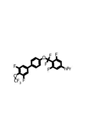 CCCc1cc(F)c(C(F)(F)Oc2ccc(-c3cc(F)c(OC(F)(F)F)c(F)c3)cc2)c(F)c1